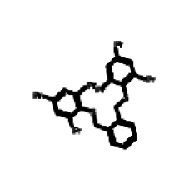 CC(C)c1cc(C(C)C)c(SCc2ccccc2CSc2c(C(C)C)cc(C(C)C)cc2C(C)C)c(C(C)C)c1